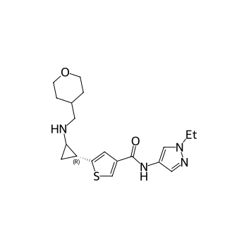 CCn1cc(NC(=O)c2csc([C@@H]3CC3NCC3CCOCC3)c2)cn1